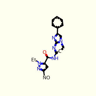 CCn1nc(N=O)cc1C(=O)Nc1ccn2cc(-c3ccccc3)nc2n1